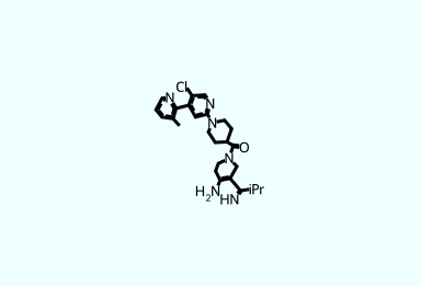 Cc1cccnc1-c1cc(N2CCC(C(=O)N3CCC(N)=C(C(=N)C(C)C)C3)CC2)ncc1Cl